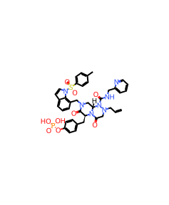 C=CCN1CC(=O)N2[C@@H](Cc3ccc(OP(=O)(O)O)cc3)C(=O)N(Cc3cccc4ccn(S(=O)(=O)c5ccc(C)cc5)c34)C[C@@H]2N1C(=O)NCc1ccccn1